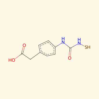 O=C(O)Cc1ccc(NC(=O)NS)cc1